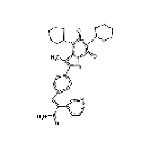 Cn1c(-c2ccc(/C=C(/C(N)=O)c3cccnc3)cc2)nc2c(=O)n(C3CCCCC3)c(=O)n(C3CCCCC3)c21